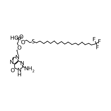 Nc1nc2c(ncn2CCOCP(=O)(O)OCCSCCCCCCCCCCCCCCCCCC(F)(F)F)c(=O)[nH]1